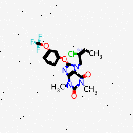 C/C=C(/Cl)Cn1c(Oc2cccc(OC(F)(F)F)c2)nc2c1c(=O)n(C)c(=O)n2C